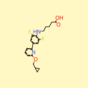 O=C(O)CCCCNc1c(F)cc(-c2cccc(OCC3CC3)n2)cc1F